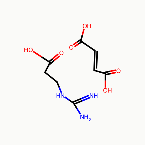 N=C(N)NCCC(=O)O.O=C(O)/C=C/C(=O)O